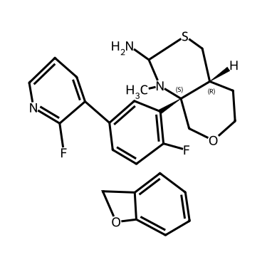 CN1C(N)SC[C@@H]2CCOC[C@@]21c1cc(-c2cccnc2F)ccc1F.c1ccc2c(c1)CO2